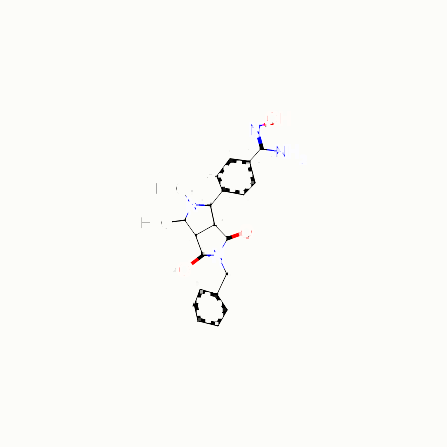 CC1C2C(=O)N(Cc3ccccc3)C(=O)C2C(c2ccc(C(N)=NO)cc2)N1C